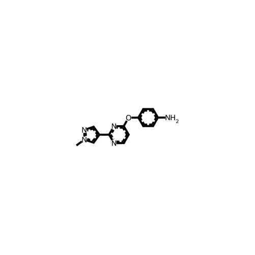 Cn1cc(-c2nccc(Oc3ccc(N)cc3)n2)cn1